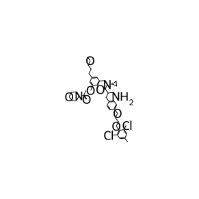 COCCCc1cc(CN(C(=O)C(CN)Cc2ccc(OCCOc3c(Cl)cc(C)cc3Cl)cc2)C2CC2)cc(OCC(=O)N2CCOCC2)c1